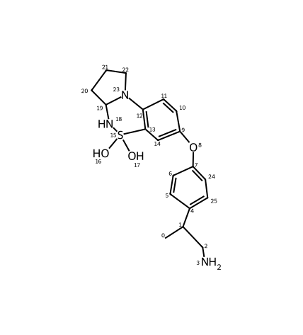 CC(CN)c1ccc(Oc2ccc3c(c2)S(O)(O)NC2CCCN32)cc1